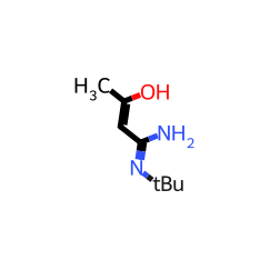 CC(O)=CC(N)=NC(C)(C)C